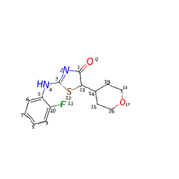 O=C1N=C(Nc2ccccc2F)SC1C1CCOCC1